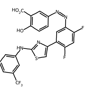 O=C(O)c1cc(/N=N\c2cc(-c3csc(Nc4cccc(C(F)(F)F)c4)n3)c(F)cc2F)ccc1O